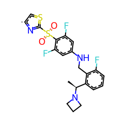 C[C@@H](c1cccc(F)c1CNc1cc(F)c(S(=O)(=O)c2n[c]cs2)c(F)c1)N1CCC1